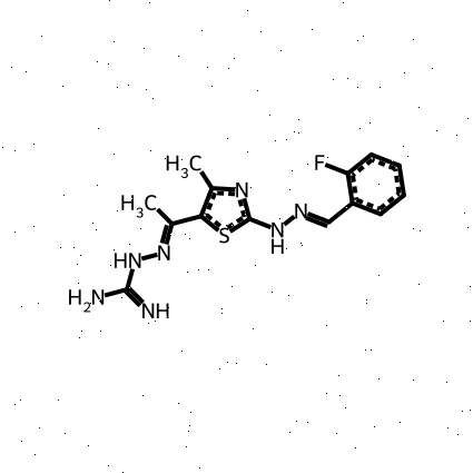 CC(=NNC(=N)N)c1sc(NN=Cc2ccccc2F)nc1C